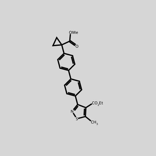 CCOC(=O)c1c(-c2ccc(-c3ccc(C4(C(=O)OC)CC4)cc3)cc2)nsc1C